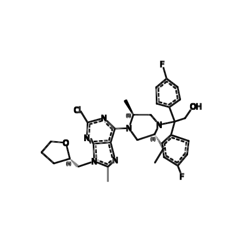 CC[C@@H]1CN(c2nc(Cl)nc3c2nc(C)n3C[C@@H]2CCCO2)[C@@H](C)CN1C(CO)(c1ccc(F)cc1)c1ccc(F)cc1